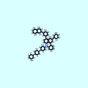 c1ccc(-c2ccc(-c3ccc(N(c4ccc(-c5cccc(-c6ccc7ccccc7c6)c5)cc4)c4ccccc4-c4cccc(-c5ccccc5)c4)cc3)cc2)cc1